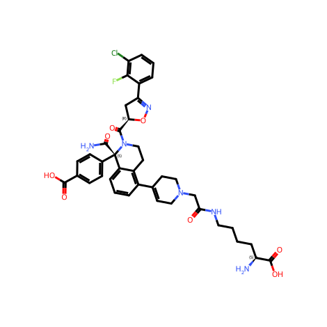 NC(=O)[C@]1(c2ccc(C(=O)O)cc2)c2cccc(C3=CCN(CC(=O)NCCCC[C@H](N)C(=O)O)CC3)c2CCN1C(=O)[C@H]1CC(c2cccc(Cl)c2F)=NO1